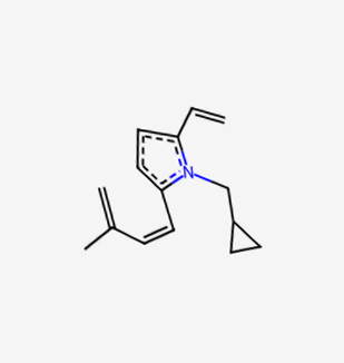 C=Cc1ccc(/C=C\C(=C)C)n1CC1CC1